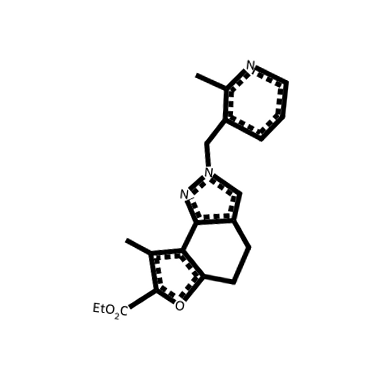 CCOC(=O)c1oc2c(c1C)-c1nn(Cc3cccnc3C)cc1CC2